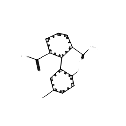 NC(=O)c1cccc(C(N)=O)c1-c1cc(I)ccc1F